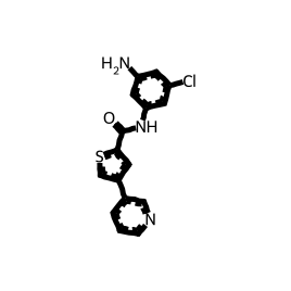 Nc1cc(Cl)cc(NC(=O)c2cc(-c3cccnc3)cs2)c1